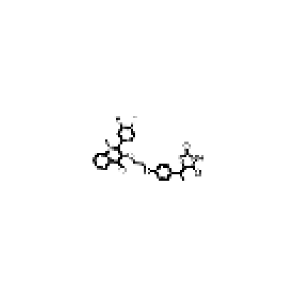 CC(=C1SC(=O)NC1=O)c1ccc(OCCOc2c(-c3ccc(F)c(F)c3)n(C)c3ccccc3c2=O)cc1